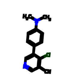 CN(C)c1ccc(-c2cncc(C#N)c2Cl)cc1